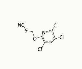 N#CSCOc1nc(Cl)c(Cl)cc1Cl